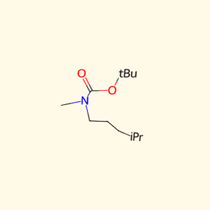 CC(C)CCCN(C)C(=O)OC(C)(C)C